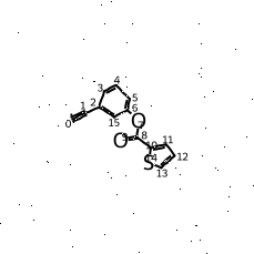 [C]#Cc1cccc(OC(=O)c2cccs2)c1